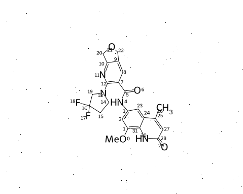 COc1cc(NC(=O)c2cc3c(nc2N2CCC(F)(F)C2)COC3)cc2c(C)cc(=O)[nH]c12